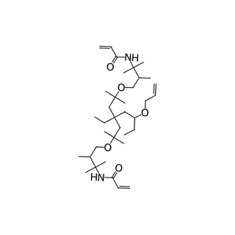 C=CCOC(CC)CC(CC)(CC(C)(C)OCC(C)C(C)(C)NC(=O)C=C)CC(C)(C)OCC(C)C(C)(C)NC(=O)C=C